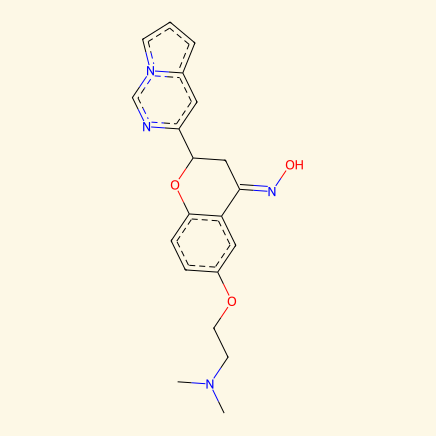 CN(C)CCOc1ccc2c(c1)/C(=N/O)CC(c1cc3cccn3cn1)O2